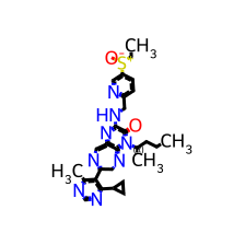 CCC[C@@H](C)n1c(=O)c(NCc2ccc([S+]([O-])CC)cn2)nc2c1=NCC(c1c(C)ncnc1C1CC1)=NC=2